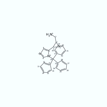 NCC1CC1c1cncn1C(c1ccccc1)(c1ccccc1)c1ccccc1